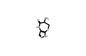 NC1COc2[nH]ncc2NC1=O